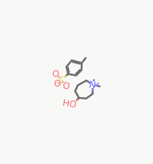 C[N+]1(C)CCCC(O)CC1.Cc1ccc(S(=O)(=O)[O-])cc1